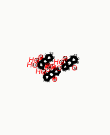 O=C1c2cccc(O)c2C(=O)c2c(O)cccc21.O=C1c2ccccc2C(=O)c2c1ccc(O)c2O.O=C1c2ccccc2C(=O)c2c1ccc(O)c2O